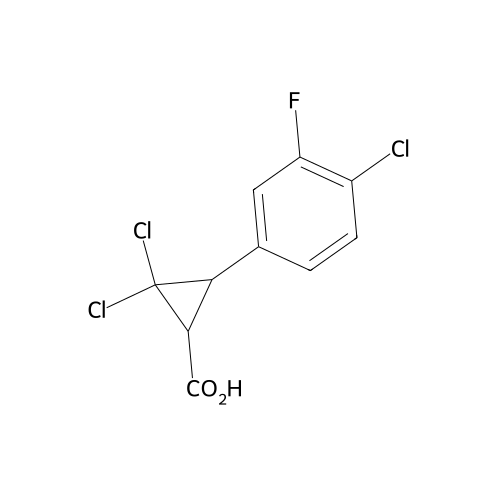 O=C(O)C1C(c2ccc(Cl)c(F)c2)C1(Cl)Cl